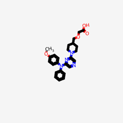 COc1ccc(N(c2ccccc2)c2cncc(N3CCC(COCC(=O)O)CC3)n2)cc1